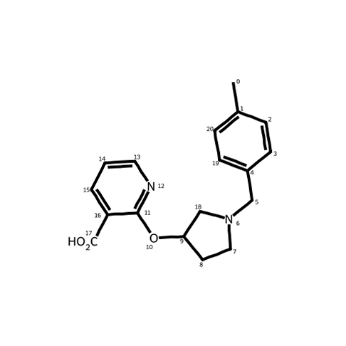 Cc1ccc(CN2CCC(Oc3ncccc3C(=O)O)C2)cc1